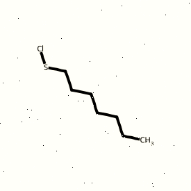 CCCCCCCSCl